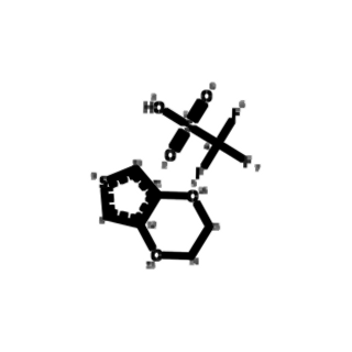 O=S(=O)(O)C(F)(F)F.c1scc2c1OCCO2